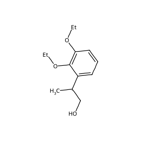 CCOc1cccc([C](C)CO)c1OCC